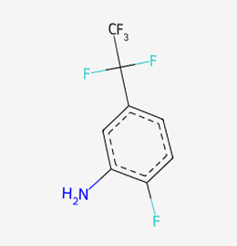 Nc1cc(C(F)(F)C(F)(F)F)ccc1F